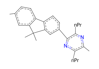 CCCc1nc(-c2ccc3c(c2)C(C)(C)c2cc(C)ccc2-3)c(CCC)nc1C